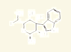 OC(F)[C@H]1O[C@H](O)[C@H](O)[C@](O)(c2c[nH]c3ccccc23)[C@H]1O